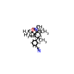 CC1C[C@@](C)(c2cccc(C#N)c2)C[C@@H]2[C@@H]1N(C)OC2(C)C